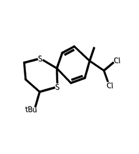 CC(C)(C)C1CCSC2(C=CC(C)(C(Cl)Cl)C=C2)S1